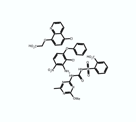 COc1nc(C)nc(NC(=O)NS(=O)(=O)c2ccccc2C(=O)O)n1.Nc1c([N+](=O)[O-])ccc(Oc2ccccc2)c1Cl.O=C(O)COc1ccc(Cl)c2cccnc12